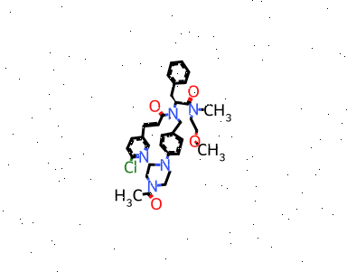 COCCN(C)C(=O)[C@H](Cc1ccccc1)N(Cc1ccc(N2CCN(C(C)=O)CC2)cc1)C(=O)C=Cc1ccc(Cl)nc1